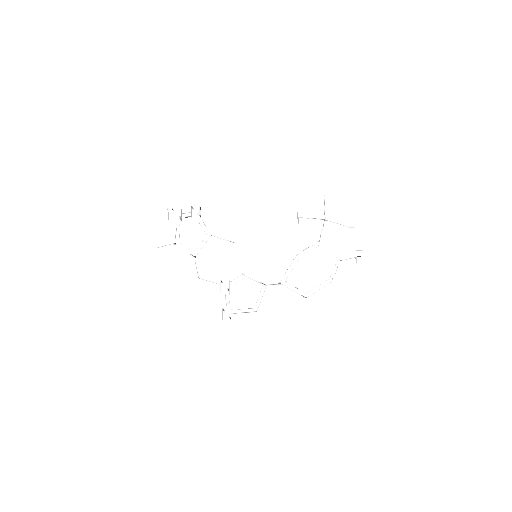 Cc1n[nH]c(C)c1Cn1cc(-c2ccc(F)c(C(C)(F)F)c2)cn1